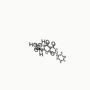 O=c1cc(-c2ccccc2)oc2cc(NS(=O)(=O)O)cc(O)c12